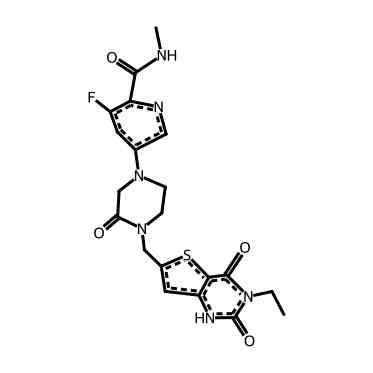 CCn1c(=O)[nH]c2cc(CN3CCN(c4cnc(C(=O)NC)c(F)c4)CC3=O)sc2c1=O